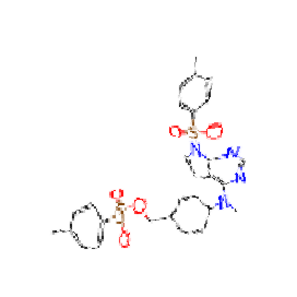 Cc1ccc(S(=O)(=O)OCC2CCC(N(C)c3ncnc4c3ccn4S(=O)(=O)c3ccc(C)cc3)CC2)cc1